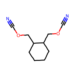 N#COCC1CCCCC1COC#N